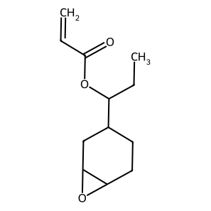 C=CC(=O)OC(CC)C1CCC2OC2C1